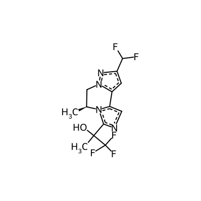 C[C@H]1Cn2nc(C(F)F)cc2-c2cnc(C(C)(O)C(F)(F)F)n21